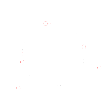 O=C1CCCC(=O)OCCOCCO1